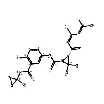 C=C(/C=C(Cl)\C=C(/C)Cl)[C@H]1[C@H](C(=O)Nc2ccc(Cl)c(C(=O)NC3(C#N)CC3)c2)C1(Cl)Cl